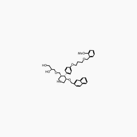 COc1ccccc1COCCCOc1ccc([C@H]2[C@H](COC[C@@H](O)CO)CNC[C@@H]2OCc2ccc3ccccc3c2)cc1